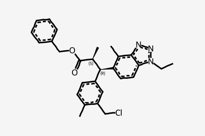 CCn1nnc2c(C)c([C@@H](c3ccc(C)c(CCl)c3)[C@H](C)C(=O)OCc3ccccc3)ccc21